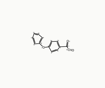 O=CC(=O)c1ccc(Oc2ccccc2)cc1